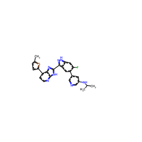 Cc1ccc(-c2ccnc3[nH]c(-c4n[nH]c5cc(F)c(-c6cncc(NC(C)C)c6)cc45)nc23)s1